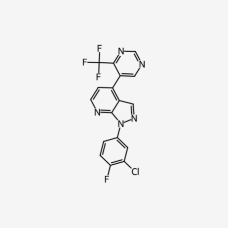 Fc1ccc(-n2ncc3c(-c4cncnc4C(F)(F)F)ccnc32)cc1Cl